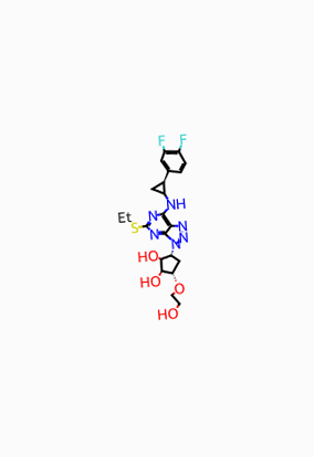 CCSc1nc(NC2C[C@H]2c2ccc(F)c(F)c2)c2nnn([C@@H]3C[C@H](OCCO)[C@@H](O)[C@H]3O)c2n1